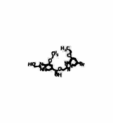 CCOc1cc(B(O)OCc2nc3c(OCC)cc(Br)cn3n2)cn2nc(CO)nc12